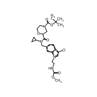 COC(=O)NCCn1cc(Cl)c2ccc(CN(C(=O)C3CN(C(=O)OC(C)(C)C)CCO3)C3CC3)cc21